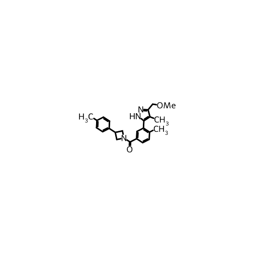 COCc1n[nH]c(-c2cc(C(=O)N3CC(c4ccc(C)cc4)C3)ccc2C)c1C